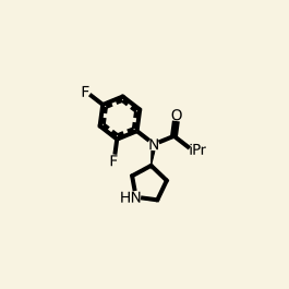 CC(C)C(=O)N(c1ccc(F)cc1F)[C@H]1CCNC1